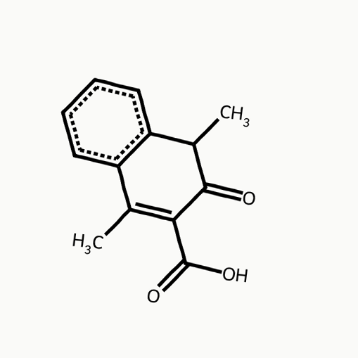 CC1=C(C(=O)O)C(=O)C(C)c2ccccc21